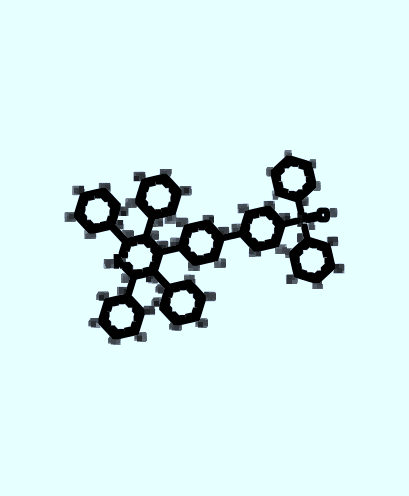 O=P(c1ccccc1)(c1ccccc1)c1ccc(-c2ccc(-c3c(-c4ccccc4)c(-c4ccccc4)nc(-c4ccccc4)c3-c3ccccc3)cc2)cc1